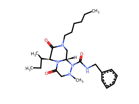 CCCCCCN1C[C@H]2N(C(=O)CN(C)N2C(=O)NCc2ccccc2)[C@@H](C(C)CC)C1=O